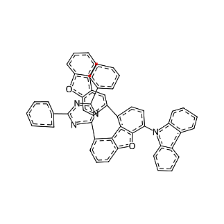 c1ccc(-c2nc(-c3ccccc3)nc(-c3cccc4oc5c(-n6c7ccccc7c7ccccc76)ccc(-c6ccc7oc8ccccc8c7c6)c5c34)n2)cc1